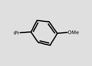 COc1ccc([C](C)C)cc1